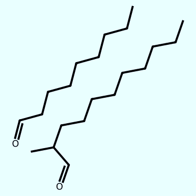 CCCCCCCCC=O.CCCCCCCCCC(C)C=O